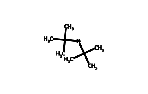 CC(C)(C)[N]C(C)(C)C